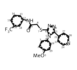 COc1ccc(-n2c(SCC(=O)Nc3cccc(C(F)(F)F)c3)nnc2-c2ccncc2)cc1